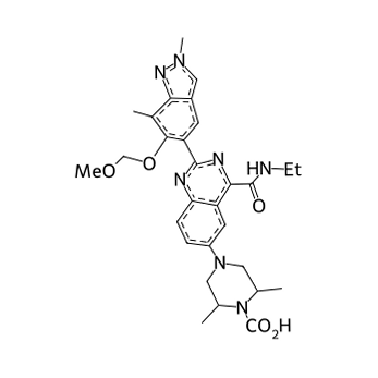 CCNC(=O)c1nc(-c2cc3cn(C)nc3c(C)c2OCOC)nc2ccc(N3CC(C)N(C(=O)O)C(C)C3)cc12